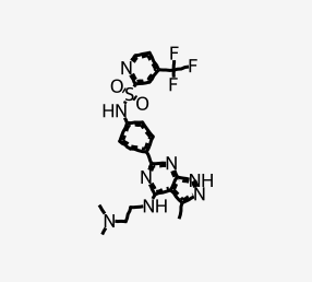 Cc1n[nH]c2nc(-c3ccc(NS(=O)(=O)c4cc(C(F)(F)F)ccn4)cc3)nc(NCCN(C)C)c12